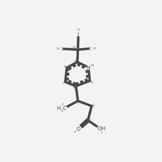 CC(CC(=O)O)c1ccc(C(I)(I)I)nc1